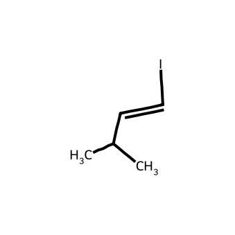 CC(C)C=CI